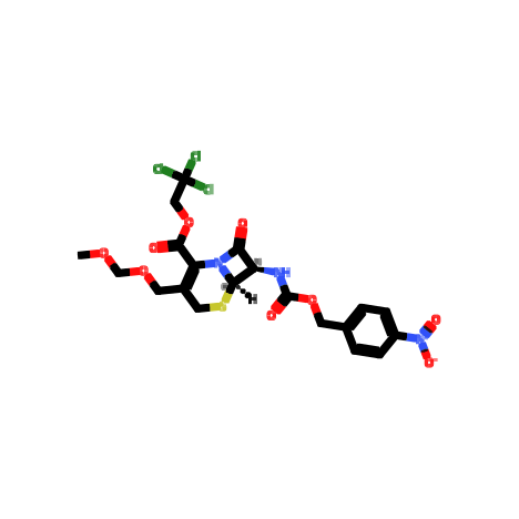 COCOCC1=C(C(=O)OCC(Cl)(Cl)Cl)N2C(=O)[C@@H](NC(=O)OCc3ccc([N+](=O)[O-])cc3)[C@H]2SC1